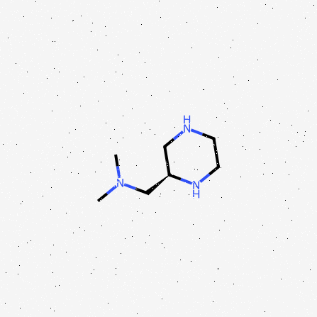 CN(C)C[C@H]1CNCCN1